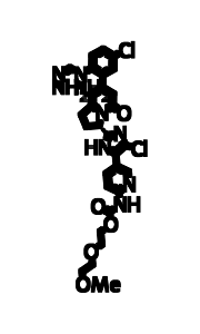 COCCOCCOC(=O)Nc1ccc(-c2[nH]c([C@@H]3CCc4cc(-c5cc(Cl)ccc5N(N)/C=N\N)cc(=O)n43)nc2Cl)cn1